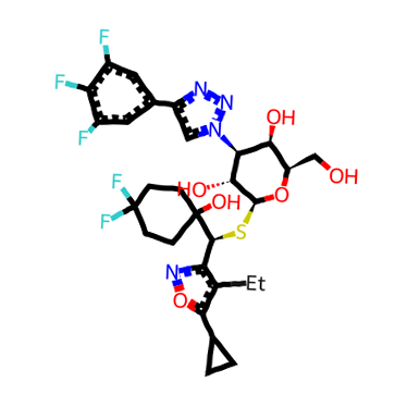 CCc1c([C@H](S[C@@H]2O[C@H](CO)[C@H](O)[C@H](n3cc(-c4cc(F)c(F)c(F)c4)nn3)[C@H]2O)C2(O)CCC(F)(F)CC2)noc1C1CC1